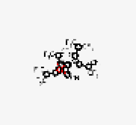 N#Cc1ccc(-n2c3ccc(-c4cc(C(F)(F)F)cc(C(F)(F)F)c4)cc3c3cc(-c4cc(C(F)(F)F)cc(C(F)(F)F)c4)ccc32)c(-c2cc(-n3c4ccc(-c5cc(C(F)(F)F)cc(C(F)(F)F)c5)cc4c4cc(-c5cc(C(F)(F)F)cc(C(F)(F)F)c5)ccc43)ccc2-c2c(C(F)(F)F)cccc2C(F)(F)F)c1